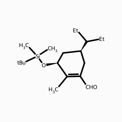 CCC(CC)[C@H]1CC(C=O)=C(C)[C@@H](O[Si](C)(C)C(C)(C)C)C1